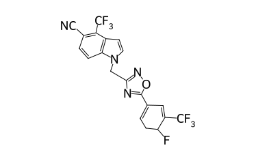 N#Cc1ccc2c(ccn2Cc2noc(C3=CCC(F)C(C(F)(F)F)=C3)n2)c1C(F)(F)F